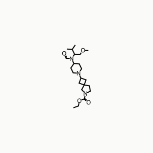 CCOC(=O)N1CCC2(CC(N3CCC(N(C=O)C(COC)C(C)C)CC3)C2)C1